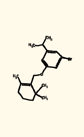 CC1=C(COc2cc(Br)cc(C(C)C)c2)C(C)(C)CCC1